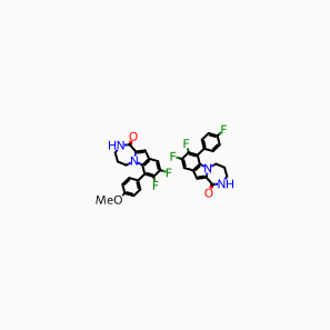 COc1ccc(-c2c(F)c(F)cc3cc4n(c23)CCCNC4=O)cc1.O=C1NCCCn2c1cc1cc(F)c(F)c(-c3ccc(F)cc3)c12